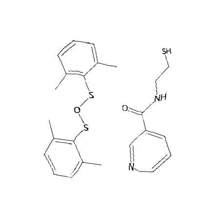 Cc1cccc(C)c1SOSc1c(C)cccc1C.O=C(NCCS)c1cccnc1